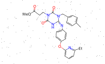 CCc1cccc(Oc2ccc(/N=c3\[nH]c(=O)n(C[C@H](C)C(=O)OC)c(=O)n3Cc3ccc(C)cc3)cc2)n1